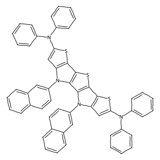 c1ccc(N(c2ccccc2)c2cc3c(s2)c2sc4c5sc(N(c6ccccc6)c6ccccc6)cc5n(-c5ccc6ccccc6c5)c4c2n3-c2ccc3ccccc3c2)cc1